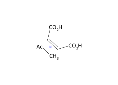 CC(C)=O.O=C(O)/C=C\C(=O)O